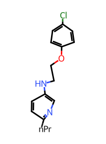 CCCc1ccc(NCCOc2ccc(Cl)cc2)cn1